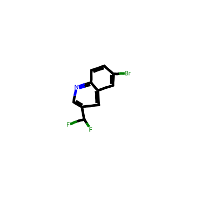 FC(F)c1cnc2ccc(Br)cc2c1